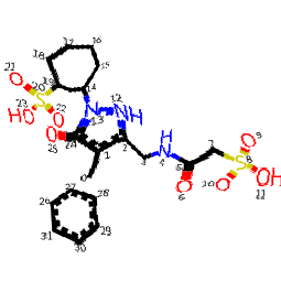 Cc1c(CNC(=O)CS(=O)(=O)O)[nH]n(C2CCCCC2S(=O)(=O)O)c1=O.c1ccccc1